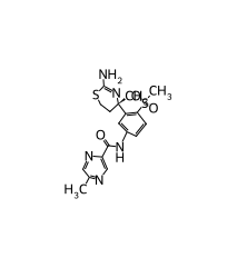 Cc1cnc(C(=O)Nc2ccc(S(C)(=O)=O)c([C@]3(C)CCSC(N)=N3)c2)cn1